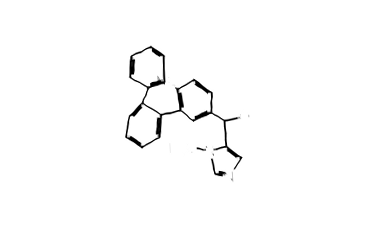 Cn1cncc1C(O)c1ccc(C#N)c(-c2ccccc2-c2ccccc2)c1